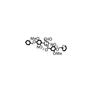 COc1cc(C(=O)N2CCN(C=O)C(c3cc(OC)c(OCc4ccccc4)cc3[N+](=O)[O-])C2)c([N+](=O)[O-])cc1OCc1ccccc1